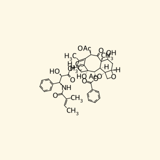 C/C=C(\C)C(=O)N[C@@H](c1ccccc1)[C@@H](O)C(=O)O[C@@H]1C[C@]2(O)[C@@H](OC(=O)c3ccccc3)[C@@H]3[C@]4(OC(C)=O)CO[C@H]4C[C@H](O)[C@@]3(C)C(=O)[C@H](OC(C)=O)C(=C1C)C2(C)C